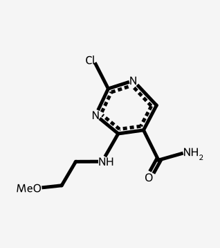 COCCNc1nc(Cl)ncc1C(N)=O